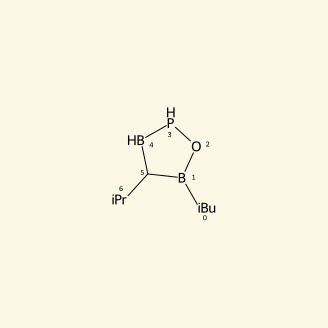 CCC(C)B1OPBC1C(C)C